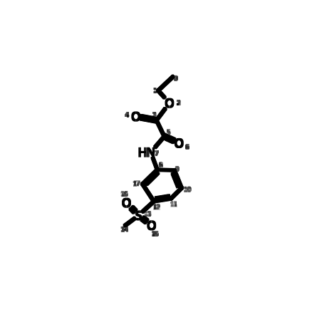 CCOC(=O)C(=O)Nc1cccc(S(C)(=O)=O)c1